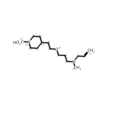 C=CCN(C)CCCOCCC1CCN(C(=O)O)CC1